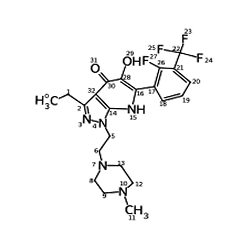 CCc1nn(CCN2CCN(C)CC2)c2[nH]c(-c3cccc(C(F)(F)F)c3F)c(O)c(=O)c12